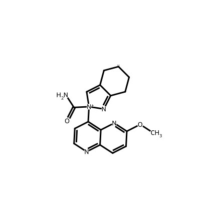 COc1ccc2nccc([N+]3(C(N)=O)C=C4C[C]CCC4=N3)c2n1